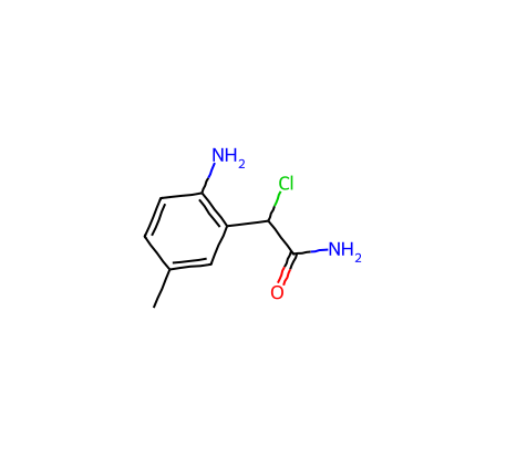 Cc1ccc(N)c(C(Cl)C(N)=O)c1